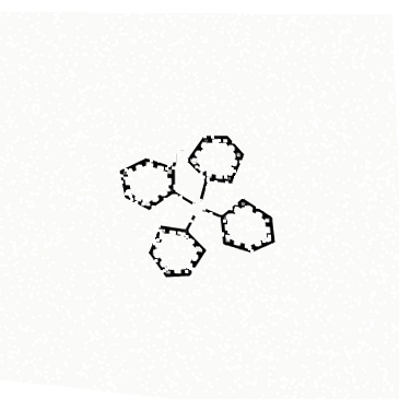 CC(C)c1ccccc1S(c1ccccc1)(c1ccccc1)c1ccccc1